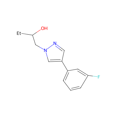 CCC(O)Cn1cc(-c2cccc(F)c2)cn1